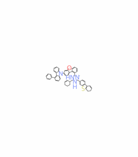 CN1C(c2ccc3c4c(sc3c2)CCC=C4)NC(C2C=CCCC2)NC1c1cccc2oc3cc(-n4c5ccccc5c5c(-c6ccccc6)cccc54)ccc3c12